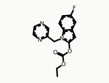 CCOC(=O)Oc1cc2cc(F)ccc2n1Cc1cnccn1